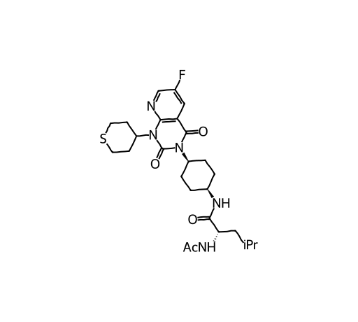 CC(=O)N[C@@H](CC(C)C)C(=O)N[C@H]1CC[C@@H](n2c(=O)c3cc(F)cnc3n(C3CCSCC3)c2=O)CC1